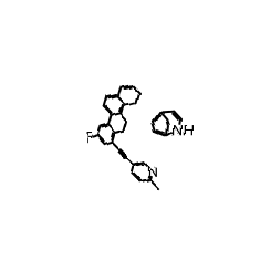 C1=CC2=CC=C(CC2)N1.Cc1ccc(C#Cc2cc(F)cc3c2CCc2c-3ccc3c2CCC=C3)cn1